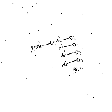 CC(=O)[O-].CC(=O)[O-].CC(=O)[O-].CC(=O)[O-].CC(=O)[O-].[Pt+2].[Rh+3]